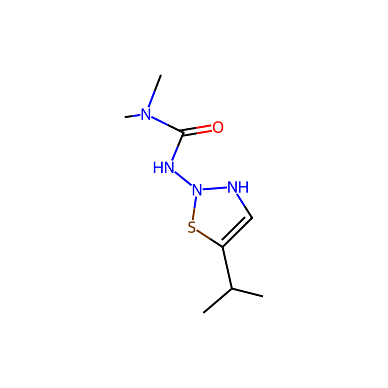 CC(C)C1=CNN(NC(=O)N(C)C)S1